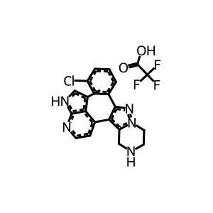 Cc1c[nH]c2nccc(-c3c(-c4cccc(Cl)c4)nn4c3CNCC4)c12.O=C(O)C(F)(F)F